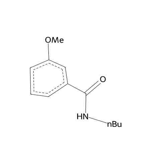 CCCCNC(=O)c1cccc(OC)c1